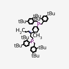 C=C/C=C(\CCP(Cc1ccc(C(C)(C)C)cc1C(C)(C)C)c1ccc(C(C)(C)C)cc1C(C)(C)C)C1(C)C=CC(P(Cc2ccc(C(C)(C)C)cc2C(C)(C)C)Cc2ccc(C(C)(C)C)cc2C(C)(C)C)=CC1